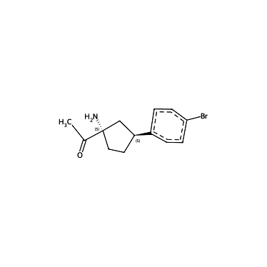 CC(=O)[C@]1(N)CC[C@H](c2ccc(Br)cc2)C1